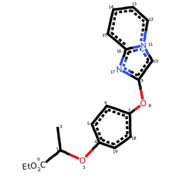 CCOC(=O)C(C)Oc1ccc(Oc2cn3ccccc3n2)cc1